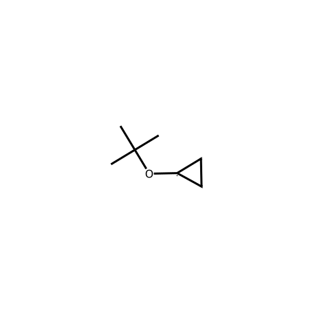 CC(C)(C)O[C]1CC1